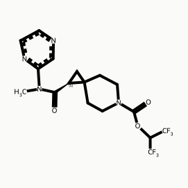 CN(C(=O)[C@H]1CC12CCN(C(=O)OC(C(F)(F)F)C(F)(F)F)CC2)c1cnccn1